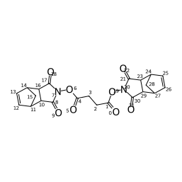 O=C(CCC(=O)ON1C(=O)C2C3C=CC(C3)C2C1=O)ON1C(=O)C2C3C=CC(C3)C2C1=O